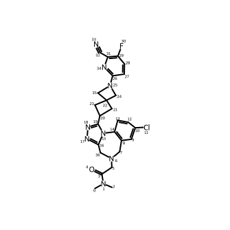 CN(C)C(=O)CN1Cc2cc(Cl)ccc2-n2c(nnc2C2CC3(C2)CN(c2ccc(F)c(C#N)n2)C3)C1